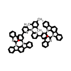 Cc1cc(C)c(B(c2cccc(-c3cccc(-n4c5ccccc5c5ccc6c7ccccc7n(-c7ccc8ccccc8n7)c6c54)c3)n2)c2cccc(-c3cccc(-n4c5ccccc5c5ccc6c7ccccc7n(-c7ccc8ccccc8n7)c6c54)c3)n2)c(C)c1